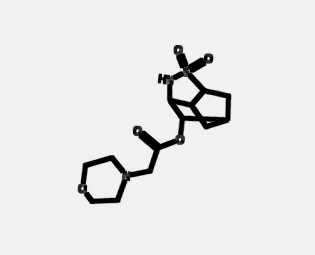 O=C(CN1CCOCC1)OC1C2CC3C1NS(=O)(=O)C3C2